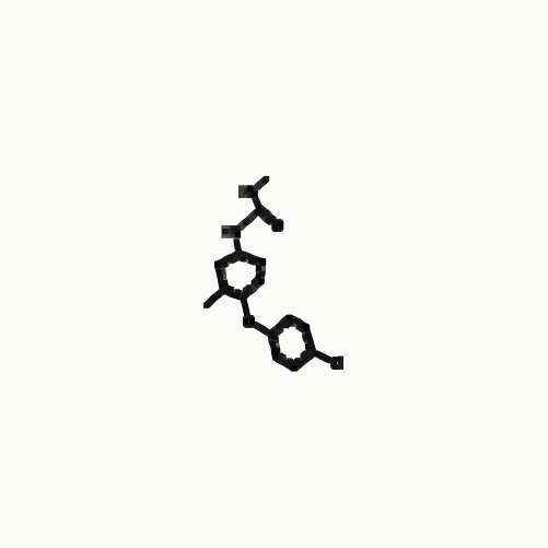 CNC(=O)Nc1ccc(Oc2ccc(Cl)cc2)c(C)c1